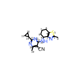 Cc1nc2c(s1)CCCC2Nc1nc(C2CC2)nc(C)c1C#N